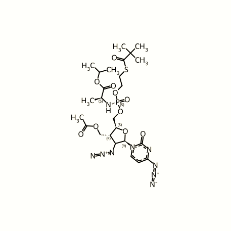 CC(=O)OC[C@H]1C(N=[N+]=[N-])[C@H](n2ccc(N=[N+]=[N-])nc2=O)O[C@@H]1CO[P@@](=O)(N[C@@H](C)C(=O)OC(C)C)OCCSC(=O)C(C)(C)C